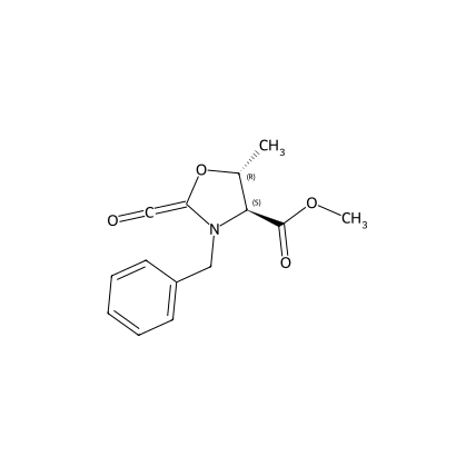 COC(=O)[C@@H]1[C@@H](C)OC(=C=O)N1Cc1ccccc1